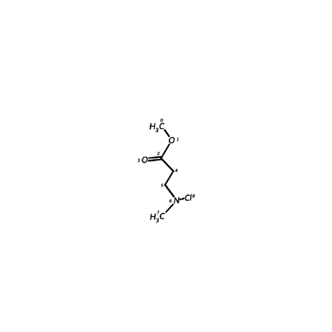 COC(=O)CCN(C)Cl